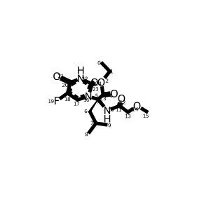 CCOC(=O)[C@](CC(C)C)(NC(=O)COC)n1cc(F)c(=O)[nH]c1=O